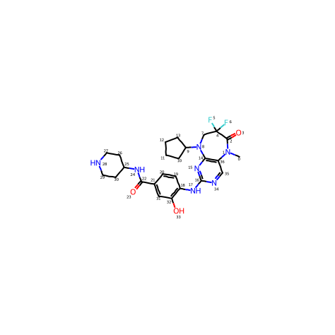 CN1C(=O)C(F)(F)CN(C2CCCC2)c2nc(Nc3ccc(C(=O)NC4CCNCC4)cc3O)ncc21